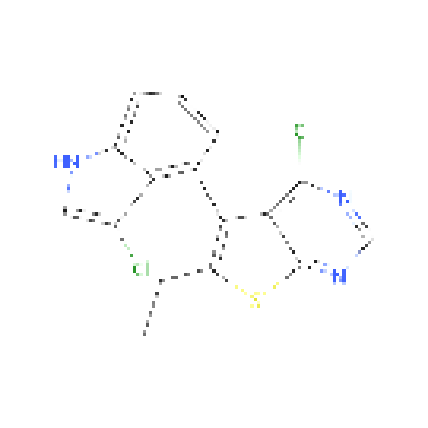 CCc1sc2ncnc(Cl)c2c1-c1cccc2[nH]cc(Cl)c12